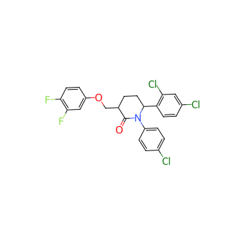 O=C1C(COc2ccc(F)c(F)c2)CCC(c2ccc(Cl)cc2Cl)N1c1ccc(Cl)cc1